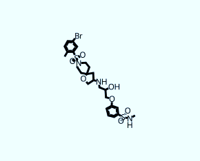 CNS(=O)(=O)c1cccc(OCC(O)CNC2COC3(CCN(S(=O)(=O)c4cc(Br)ccc4C)CC3)C2)c1